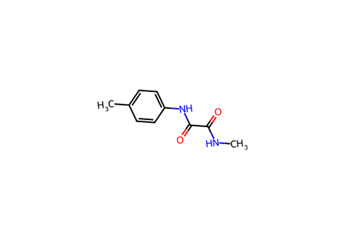 CNC(=O)C(=O)Nc1ccc(C)cc1